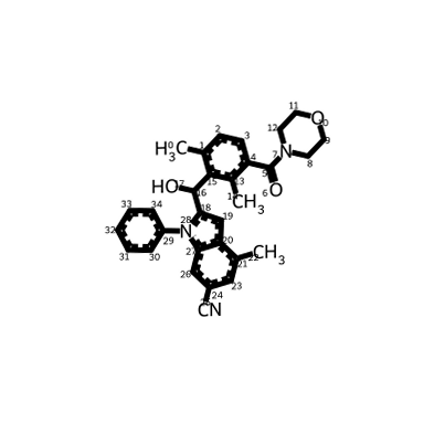 Cc1ccc(C(=O)N2CCOCC2)c(C)c1C(O)c1cc2c(C)cc(C#N)cc2n1-c1ccccc1